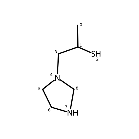 CC(S)CN1CCNC1